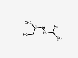 CC[C@H](C)C(NN[C@H](C=O)CO)C(C)=O